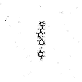 Clc1ccc(OC[C@H]2CC[C@H]([C@H]3CC[C@H](CCC4OCCO4)CC3)CC2)cc1